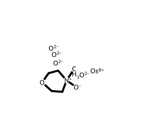 C[N+]1([O-])CCOCC1.[O-2].[O-2].[O-2].[O-2].[Os+8]